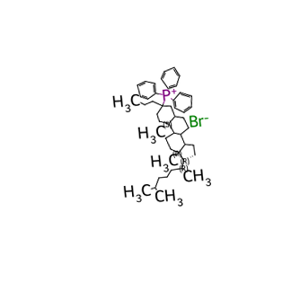 CCCC1([P+](c2ccccc2)(c2ccccc2)c2ccccc2)CC[C@@]2(C)C(CCC3C2CC[C@@]2(C)C3CC[C@@H]2[C@H](C)CCCC(C)C)C1.[Br-]